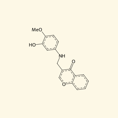 COc1ccc(NCc2coc3ccccc3c2=O)cc1O